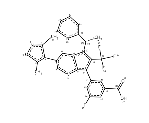 Cc1noc(C)c1-c1cnc2c(-c3cc(F)cc(C(=O)O)c3)c(C(F)(F)F)n([C@@H](C)c3ccccn3)c2c1